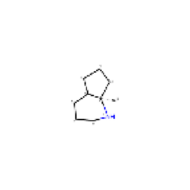 C[C@@]12CCCC1CCCN2